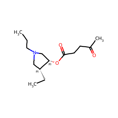 CCCN1C[C@@H](CC)[C@@H](OC(=O)CCC(C)=O)C1